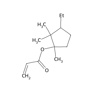 C=CC(=O)OC1(C)CCC(CC)C1(C)C